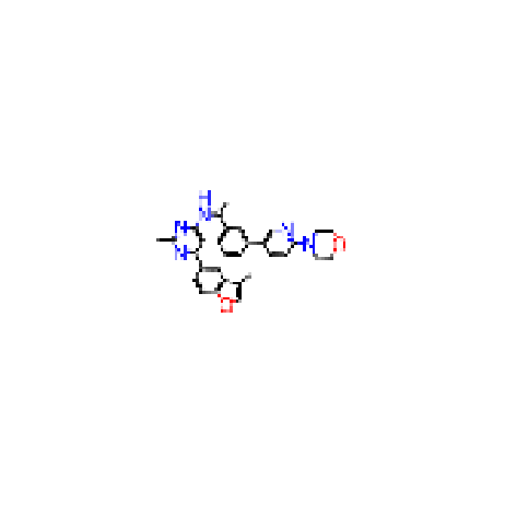 Cc1nc(N[C@@H](C)c2cccc(-c3ccc(N4CCOCC4)nc3)c2)cc(-c2ccc3occ(C)c3c2)n1